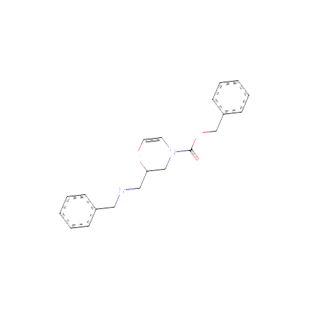 O=C(OCc1ccccc1)N1C=COC(CNCc2ccccc2)C1